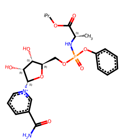 CC(C)OC(=O)[C@H](C)NP(=O)(OC[C@H]1O[C@H]([n+]2cccc(C(N)=O)c2)[C@H](O)[C@@H]1O)Oc1ccccc1